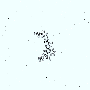 CN(C(=O)O)[C@H]1CC[C@H](CC(=O)Nc2cnc(-c3ccc(C4(N)CC(F)(F)C4)cc3)c(-c3ccccc3)c2)CC1